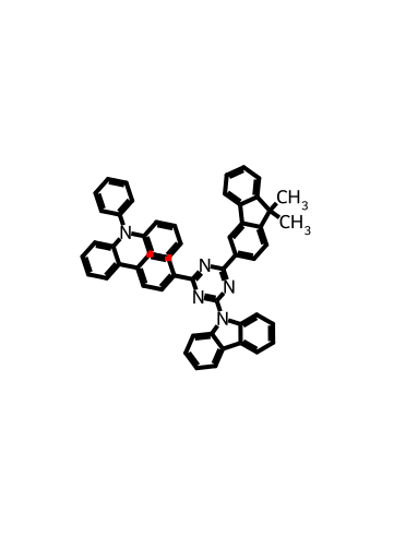 CC1(C)c2ccccc2-c2cc(-c3nc(-c4ccc(-c5ccccc5N(c5ccccc5)c5ccccc5)cc4)nc(-n4c5ccccc5c5ccccc54)n3)ccc21